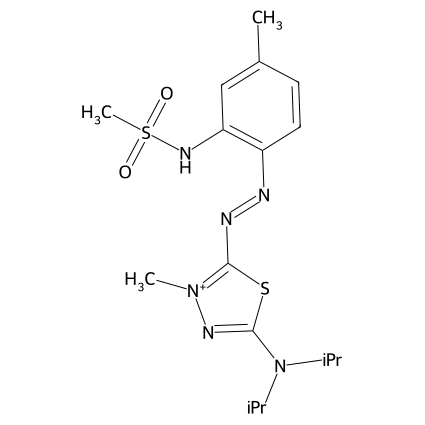 Cc1ccc(N=Nc2sc(N(C(C)C)C(C)C)n[n+]2C)c(NS(C)(=O)=O)c1